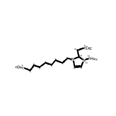 CCCCCCCCCCCCCCCCCCN1C=CN(CCCCCC)C1CCCCCCCCCCC